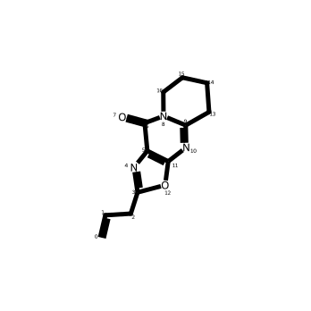 C=CCc1nc2c(=O)n3c(nc2o1)CCCC3